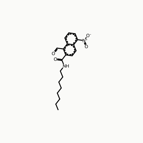 CCCCCCCCNC(=O)c1ccc2c([N+](=O)[O-])cccc2c1C=O